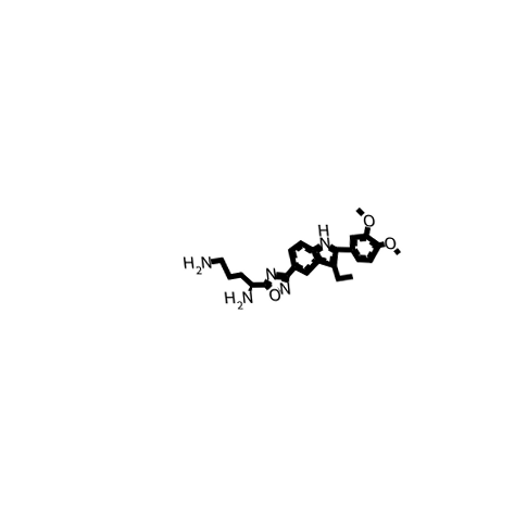 CCc1c(-c2ccc(OC)c(OC)c2)[nH]c2ccc(-c3noc([C@@H](N)CCCN)n3)cc12